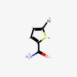 CC(=O)c1ccc(C(N)=O)s1